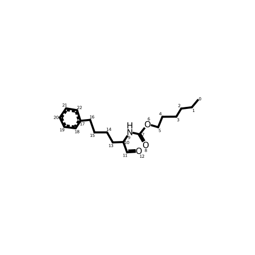 CCCCCCOC(=O)NC(C=O)CCCCc1ccccc1